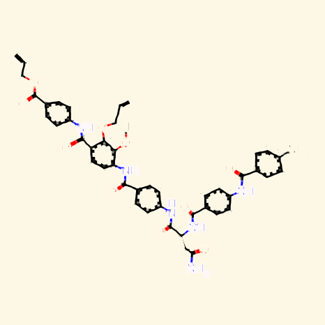 C=CCOC(=O)c1ccc(NC(=O)c2ccc(NC(=O)c3ccc(NC(=O)[C@H](CC(N)=O)NC(=O)c4ccc(NC(=O)c5ccc([N+](=O)[O-])cc5)cc4)cc3)c(OC(C)C)c2OCC=C)cc1